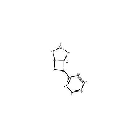 c1ccc(C2CC3COCC32)cc1